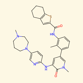 Cc1c(NC(=O)c2cc3c(s2)CCCC3)cccc1-c1cc(Nc2ccc(N3CCCN(C)CC3)cn2)c(=O)n(C)c1